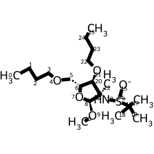 CCCCOC[C@H]1O[C@H](OC)[C@](C)(N[S+]([O-])C(C)(C)C)[C@@H]1OCCCC